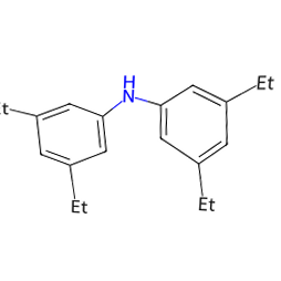 CCc1cc(CC)cc(Nc2cc(CC)cc(CC)c2)c1